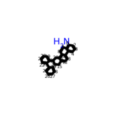 Nc1cccc2c1ccc1c3c(ccc12)CCC(c1ccccc1-c1ccccc1)C3